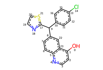 Oc1ccnc2ccc(C(c3ccc(Cl)cc3)c3nccs3)cc12